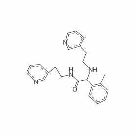 Cc1ccccc1C(NCCc1cccnc1)C(=O)NCCc1cccnc1